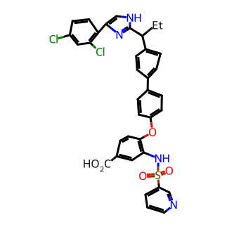 CCC(c1ccc(-c2ccc(Oc3ccc(C(=O)O)cc3NS(=O)(=O)c3cccnc3)cc2)cc1)c1nc(-c2ccc(Cl)cc2Cl)c[nH]1